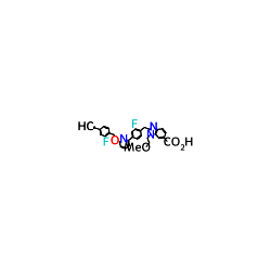 C#Cc1ccc(COc2cccc(-c3ccc(Cc4nc5ccc(C(=O)O)cc5n4CCOC)c(F)c3)n2)c(F)c1